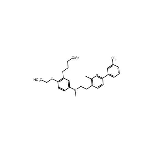 COCCCc1cc(N(C)CCc2ccc(-c3cccc(C(F)(F)F)c3)nc2C)ccc1OCC(=O)O